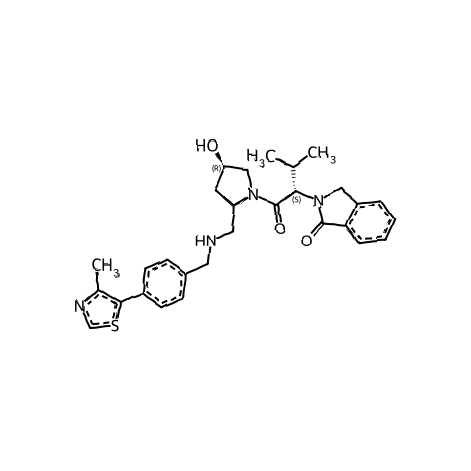 Cc1ncsc1-c1ccc(CNCC2C[C@@H](O)CN2C(=O)[C@H](C(C)C)N2Cc3ccccc3C2=O)cc1